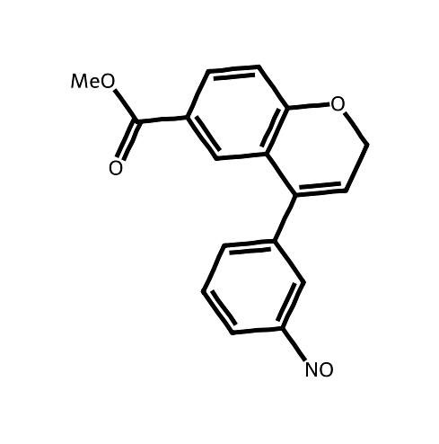 COC(=O)c1ccc2c(c1)C(c1cccc(N=O)c1)=CCO2